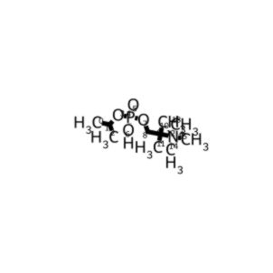 CC(C)OP(=O)(O)OCC(C)(C)[N+](C)(C)C